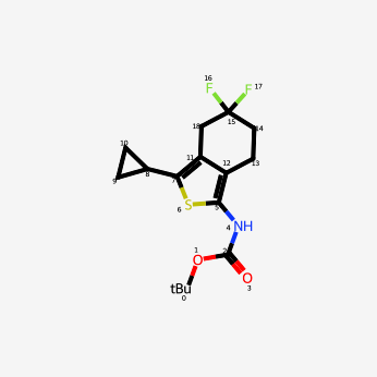 CC(C)(C)OC(=O)Nc1sc(C2CC2)c2c1CCC(F)(F)C2